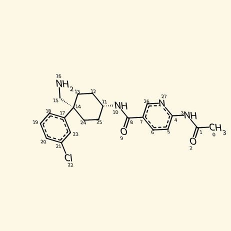 CC(=O)Nc1ccc(C(=O)N[C@H]2CC[C@](CN)(c3cccc(Cl)c3)CC2)cn1